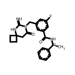 C[C@H](NC(=O)c1cc(F)cc(CN2C(=N)NC3(CCC3)CC2=O)c1)c1ccccc1